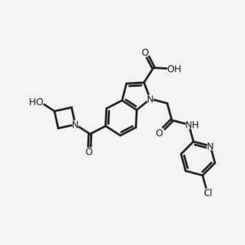 O=C(Cn1c(C(=O)O)cc2cc(C(=O)N3CC(O)C3)ccc21)Nc1ccc(Cl)cn1